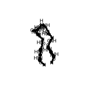 C[C@@H](NC(=O)CNCCCN/C=C(/CCCCN(C)CCNC(=O)CCCOc1ccc2[nH]c(-c3ccc(-c4nc5cc(OCCCN(C)C)ccc5[nH]4)cc3)nc2c1)N=N)C(=O)N[C@H](C)C(=O)N[C@H](C)C(=O)N[C@H](C)C(=O)N(CCCn1cc(CCCCN(C)CCNC(=O)CCCOc2ccc3[nH]c(-c4ccc(-c5nc6cc(OCCCN(C)C)ccc6[nH]5)cc4)nc3c2)nn1)CC(N)=O